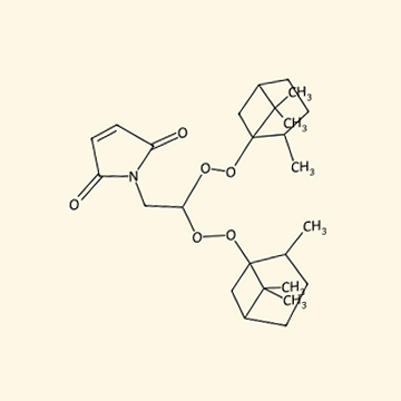 CC1CCC2CC1(OOC(CN1C(=O)C=CC1=O)OOC13CC(CCC1C)C3(C)C)C2(C)C